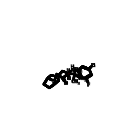 CC(C)(C)NC(=O)CN1C2CCC1CN(CC(=O)Nc1cc(F)cc(Cl)c1)C2